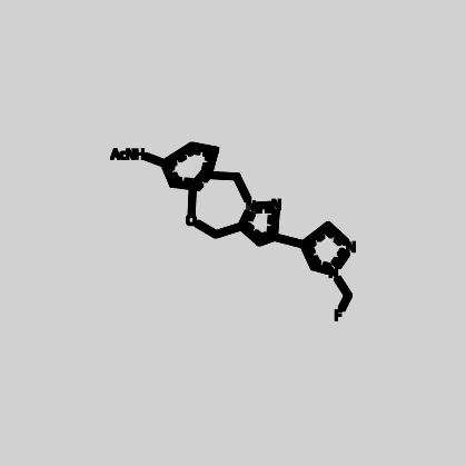 CC(=O)Nc1ccc2c(c1)OCc1cc(-c3cnn(CF)c3)nn1C2